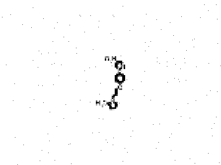 CC1CCCN1CCCOc1ccc(-n2cc([N+](=O)[O-])cn2)cc1